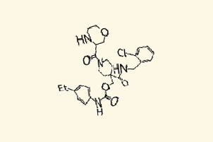 CCc1ccc(NC(=O)OCC2(C(=O)NCc3ccccc3Cl)CCN(C(=O)C3COCCN3)CC2)cc1